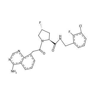 Nc1ncnc2c(CC(=O)N3C[C@H](F)C[C@H]3C(=O)NCc3cccc(Cl)c3F)cccc12